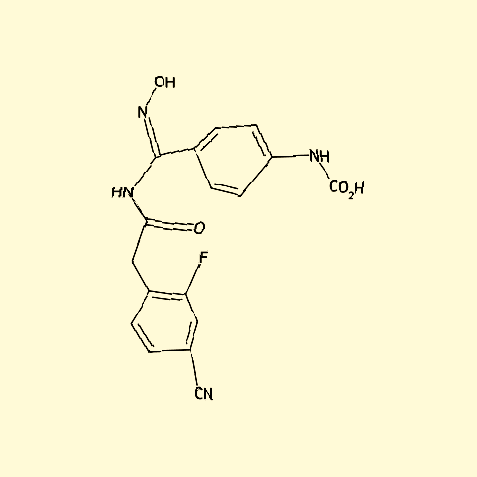 N#Cc1ccc(CC(=O)N/C(=N/O)c2ccc(NC(=O)O)cc2)c(F)c1